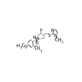 COc1ccc(S(=O)(=O)N2CCC(CSc3nccn3C)C(F)C2)c(C)c1